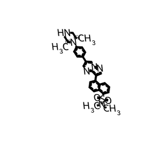 C[C@@H]1CNC[C@H](C)N1c1ccc(-c2cnc3c(-c4cccc5c(S(=O)(=O)N(C)C)cccc45)cnn3c2)cc1